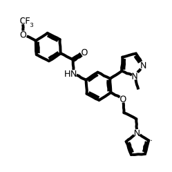 Cn1nccc1-c1cc(NC(=O)c2ccc(OC(F)(F)F)cc2)ccc1OCCn1[c]ccc1